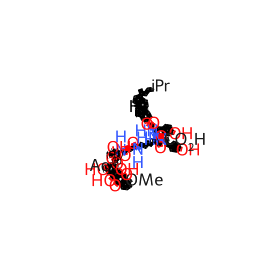 COc1cccc2c1C(=O)c1c(O)c3c(c(O)c1C2=O)C[C@@](O)(C(C)=O)C[C@@H]3O[C@H]1C[C@H](NC(=O)CCC(=O)NCCCC[C@@H](NC(=O)C(Cc2ccc(O)cc2)NC(=O)OC2CCC3(C)C(=CCC4[C@@H]3CCC3(C)C(C(C)CCCC(C)C)CC[C@@H]43)C2)C(=O)NC(Cc2ccc(O)cc2)C(=O)O)[C@H](O)[C@H](C)O1